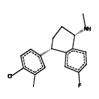 CN[C@H]1CC[C@@H](c2ccc(Cl)c(C)c2)c2cc(F)ccc21